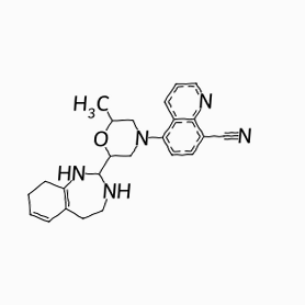 CC1CN(c2ccc(C#N)c3ncccc23)CC(C2NCCC3=C(CCC=C3)N2)O1